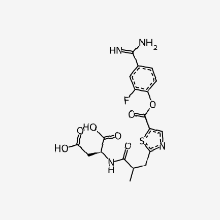 CC(Cc1ncc(C(=O)Oc2ccc(C(=N)N)cc2F)s1)C(=O)N[C@@H](CC(=O)O)C(=O)O